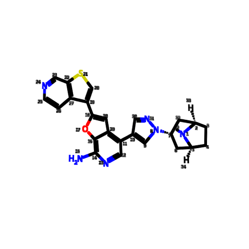 CN1[C@@H]2CC[C@H]1C[C@H](n1cc(-c3cnc(N)c4oc(-c5csc6cnccc56)cc34)cn1)C2